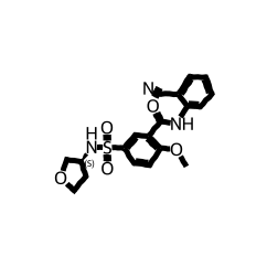 COc1ccc(S(=O)(=O)N[C@H]2CCOC2)cc1C(=O)Nc1ccccc1C#N